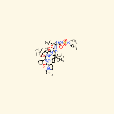 C=C[C@@H]1C[C@]1(NC(=O)[C@@H]1C[C@@]2(CN1C(=O)C(NC(=O)C(NC(=O)[C@@H]1CCCN1CC)C1CCCC1)C(C)(C)C)C(C)(C)C21CCC1)C(=O)NS(=O)(=O)N(CC)CC